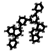 c1ccc(-c2nc(-c3cccc(-c4ccc(-c5ccccc5)c5ccccc45)c3)nc(-c3cccc4c3ccc3ccccc34)n2)cc1